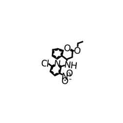 CCOC(=O)CC(Nc1nc(Cl)ccc1[N+](=O)[O-])c1ccccc1